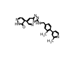 Cc1cc(-c2ccc(CNc3nnc4cc(-c5ccn[nH]c5=O)cnn34)cc2C)ccn1